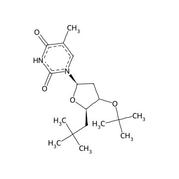 Cc1cn([C@H]2CC(OC(C)(C)C)[C@@H](CC(C)(C)C)O2)c(=O)[nH]c1=O